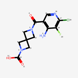 Nc1c(C(=O)N2CC3(CN(C(=O)O)C3)C2)cnc(Cl)c1F